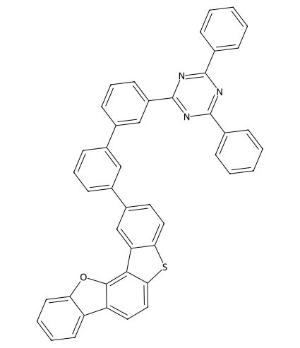 c1ccc(-c2nc(-c3ccccc3)nc(-c3cccc(-c4cccc(-c5ccc6sc7ccc8c9ccccc9oc8c7c6c5)c4)c3)n2)cc1